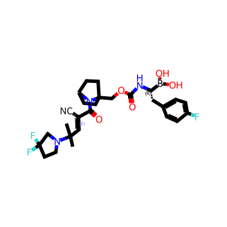 CC(C)(/C=C(\C#N)C(=O)N1C2CCC1(COC(=O)N[C@@H](Cc1ccc(F)cc1)B(O)O)CC2)N1CCC(F)(F)C1